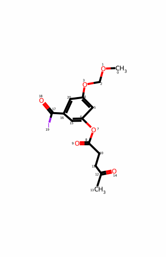 COCOc1cc(OC(=O)CCC(C)=O)cc(C(=O)I)c1